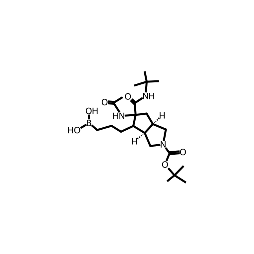 CC(=O)NC1(C(=O)NC(C)(C)C)C[C@H]2CN(C(=O)OC(C)(C)C)C[C@H]2C1CCCB(O)O